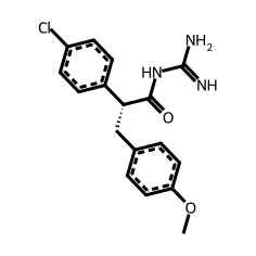 COc1ccc(C[C@@H](C(=O)NC(=N)N)c2ccc(Cl)cc2)cc1